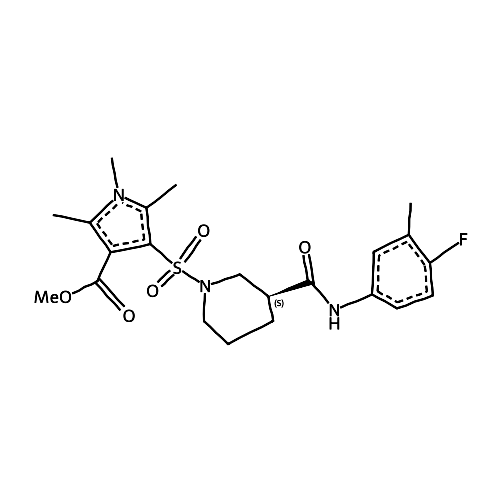 COC(=O)c1c(S(=O)(=O)N2CCC[C@H](C(=O)Nc3ccc(F)c(C)c3)C2)c(C)n(C)c1C